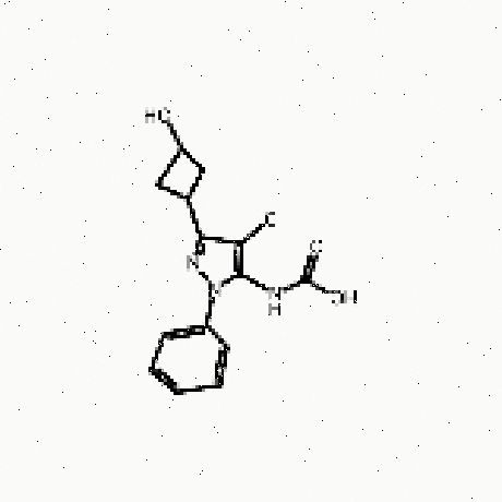 O=C(O)Nc1c(Cl)c(C2CC(O)C2)nn1-c1ccccc1